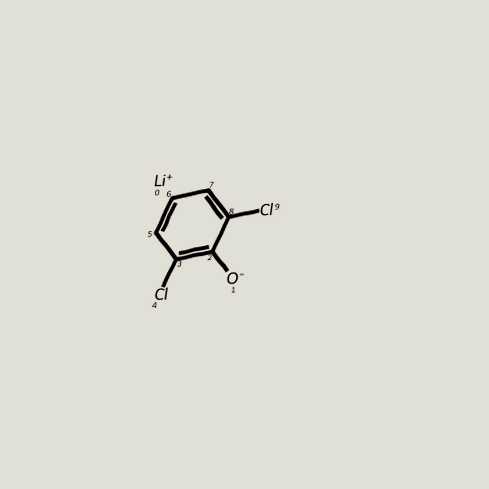 [Li+].[O-]c1c(Cl)cccc1Cl